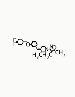 Cc1onc(N2CCC(=Cc3cccc(OCC4CCC(F)(F)CC4)c3)C(C)C2)c1C